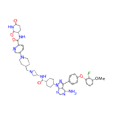 COc1cccc(Oc2ccc(-c3nn(C4CCC(C(=O)NC5CN(CC6CCN(c7ccc(C(=O)NC8CCC(=O)NC8=O)nc7)CC6)C5)CC4)c4ncnc(N)c34)cc2)c1F